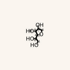 OC[C@@H](O)[C@H]1O[CH][C@H](O)[C@H]1O